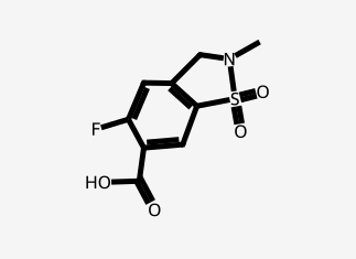 CN1Cc2cc(F)c(C(=O)O)cc2S1(=O)=O